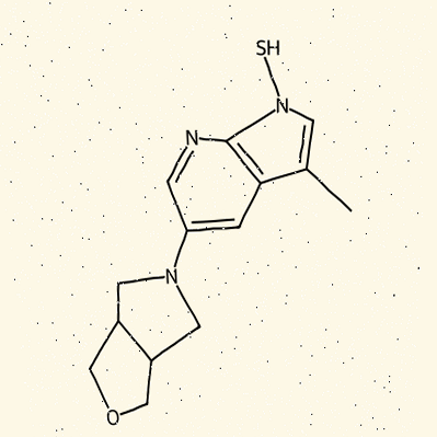 Cc1cn(S)c2ncc(N3CC4COCC4C3)cc12